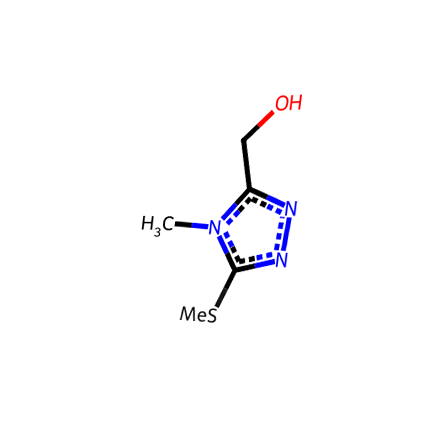 CSc1nnc(CO)n1C